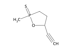 C#CC1CCP(C)(=S)O1